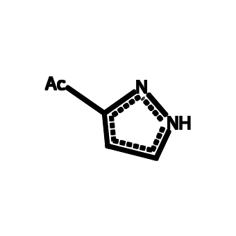 [CH2]C(=O)c1cc[nH]n1